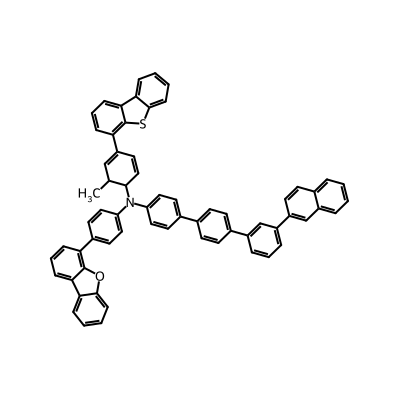 CC1C=C(c2cccc3c2sc2ccccc23)C=CC1N(c1ccc(-c2ccc(-c3cccc(-c4ccc5ccccc5c4)c3)cc2)cc1)c1ccc(-c2cccc3c2oc2ccccc23)cc1